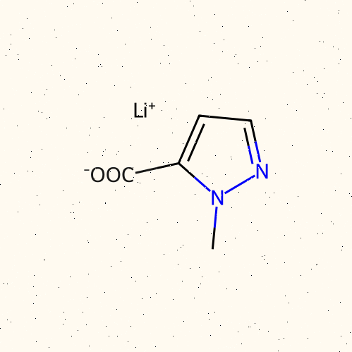 Cn1nccc1C(=O)[O-].[Li+]